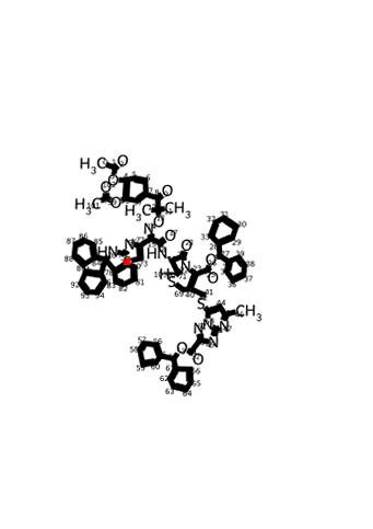 CC(=O)Oc1ccc(C(=O)C(C)(C)O/N=C(\C(=O)N[C@@H]2C(=O)N3C(C(=O)OC(c4ccccc4)c4ccccc4)=C(CSc4cc(C)nc5nc(C(=O)OC(c6ccccc6)c6ccccc6)nn45)CS[C@H]23)c2csc(NC(c3ccccc3)(c3ccccc3)c3ccccc3)n2)cc1OC(C)=O